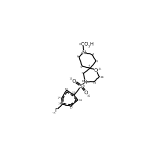 O=C(O)N1CCC2(CC1)CN(S(=O)(=O)c1ccc(F)cc1)CCO2